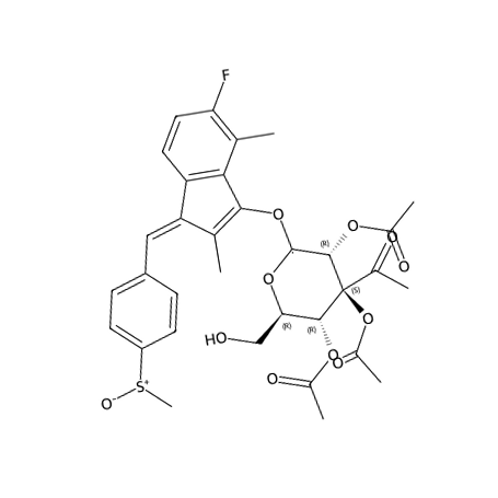 CC(=O)O[C@@H]1[C@@H](CO)O[C](OC2=C(C)C(=Cc3ccc([S+](C)[O-])cc3)c3ccc(F)c(C)c32)[C@H](OC(C)=O)[C@]1(OC(C)=O)C(C)=O